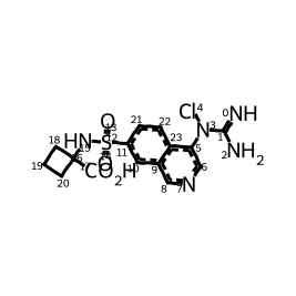 N=C(N)N(Cl)c1cncc2cc(S(=O)(=O)NC3(C(=O)O)CCC3)ccc12